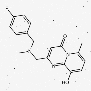 Cc1ccc(O)c2nc(CN(C)Cc3ccc(F)cc3)cc(=O)n12